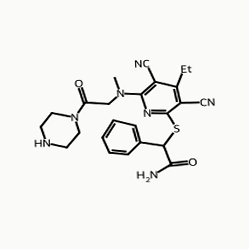 CCc1c(C#N)c(SC(C(N)=O)c2ccccc2)nc(N(C)CC(=O)N2CCNCC2)c1C#N